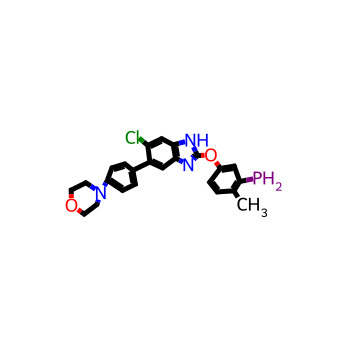 Cc1ccc(Oc2nc3cc(-c4ccc(N5CCOCC5)cc4)c(Cl)cc3[nH]2)cc1P